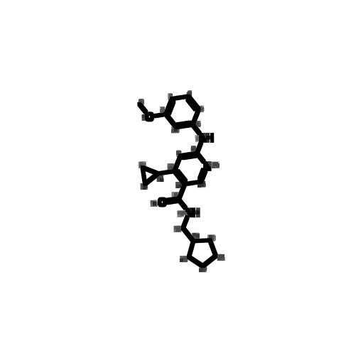 COc1cccc(Nc2cc(C3CC3)c(C(=O)NCC3CCCC3)cn2)c1